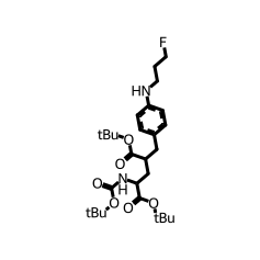 CC(C)(C)OC(=O)NC(CC(Cc1ccc(NCCCF)cc1)C(=O)OC(C)(C)C)C(=O)OC(C)(C)C